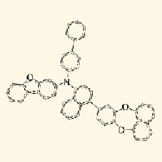 c1ccc(-c2ccc(N(c3ccc4c(c3)oc3ccccc34)c3ccc(-c4ccc5c(c4)Oc4cccc6cccc(c46)O5)c4ccccc34)cc2)cc1